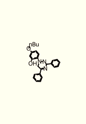 CCCCOc1ccc(N2CC(c3ccccc3)=NC(c3ccccc3)=N2)c(O)c1